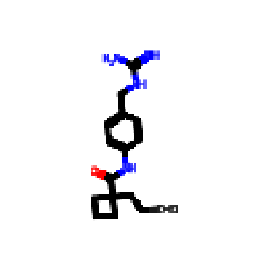 N=C(N)NCc1ccc(NC(=O)C2(CCC=O)CCC2)cc1